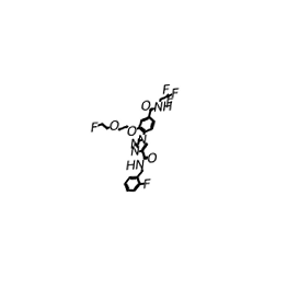 O=C(NCC(F)(F)F)c1ccc(-n2cc(C(=O)NCc3ccccc3F)nn2)c(OCCOCCF)c1